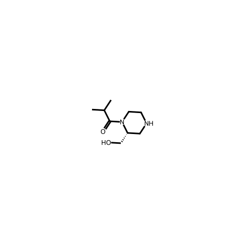 CC(C)C(=O)N1CCNC[C@@H]1CO